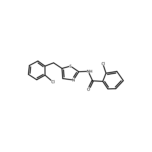 O=C(Nc1ncc(Cc2ccccc2Cl)s1)c1ccccc1Cl